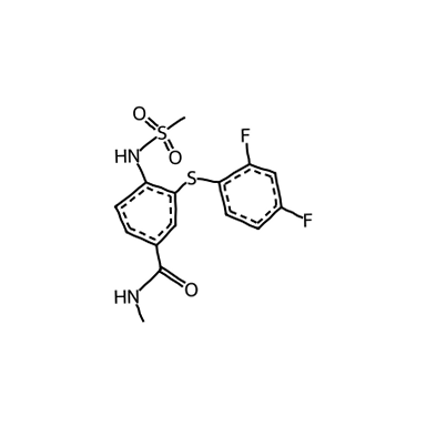 CNC(=O)c1ccc(NS(C)(=O)=O)c(Sc2ccc(F)cc2F)c1